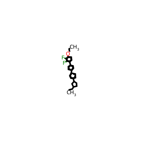 CCCOc1ccc(-c2ccc(-c3ccc(C4CCC(CCC)C4)cc3)cc2)c(F)c1F